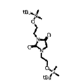 CC(C)(C)[Si](C)(C)OCCN1CC(=O)N(CCO[Si](C)(C)C(C)(C)C)C1=O